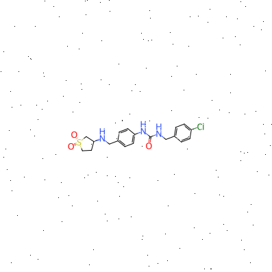 O=C(NCc1ccc(Cl)cc1)Nc1ccc(CN[C@H]2CCS(=O)(=O)C2)cc1